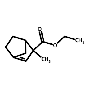 CCOC(=O)C1(C)C=C2CCC1C2